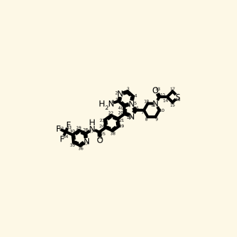 Nc1nccn2c(C3CCCN(C(=O)C4CSC4)C3)nc(-c3ccc(C(=O)Nc4cc(C(F)(F)F)ccn4)cc3)c12